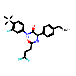 COCc1ccc([C@@H](NC(=O)CCC(F)F)C(=O)Nc2ccc([Si](C)(C)C)c(F)c2)cc1